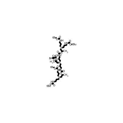 CC(CN(CCCNC(=O)OC(C)(C)C)CCCNC(=O)OC(C)(C)C)OC(=O)NCCCN(CCCNC(=O)OC(C)CN(CCCNC(=O)OC(C)(C)C)CCCNC(=O)OC(C)(C)C)CC(C)OC(=O)C(C)(C)Br